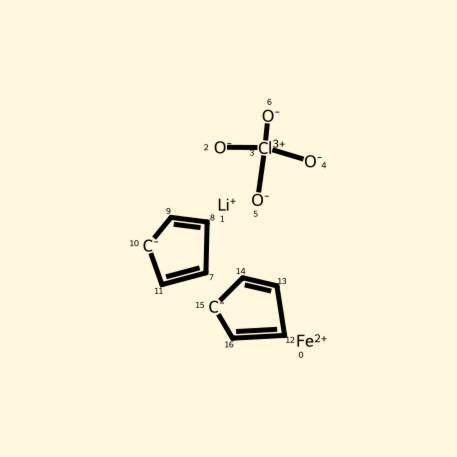 [Fe+2].[Li+].[O-][Cl+3]([O-])([O-])[O-].c1cc[cH-]c1.c1cc[cH-]c1